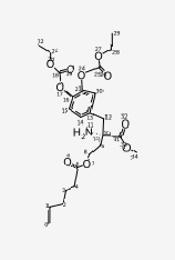 CCCCCC(=O)OCC[C@@](N)(Cc1ccc(OC(=O)OCC)c(OC(=O)OCC)c1)C(=O)OC